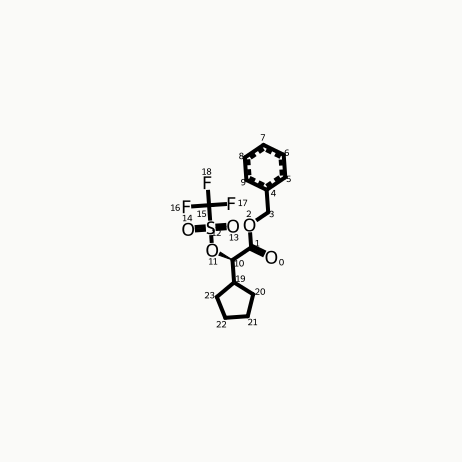 O=C(OCc1ccccc1)[C@H](OS(=O)(=O)C(F)(F)F)C1CCCC1